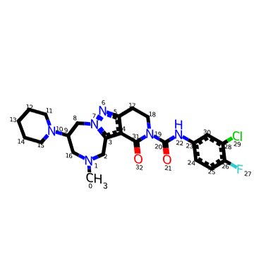 CN1Cc2c3c(nn2CC(N2CCCCC2)C1)CCN(C(=O)Nc1ccc(F)c(Cl)c1)C3=O